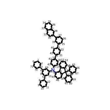 c1ccc(-c2cc(-c3ccccc3)cc(N(c3ccc(-c4ccc(-c5cccc(-c6ccc7ccccc7c6)c5)cc4)cc3)c3cccc4c3-c3ccccc3C4(c3ccccc3)c3ccccc3)c2)cc1